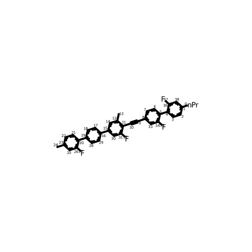 CCCc1ccc(-c2ccc(C#Cc3c(C)cc(-c4ccc(-c5ccc(C)cc5F)cc4)cc3F)cc2F)c(F)c1